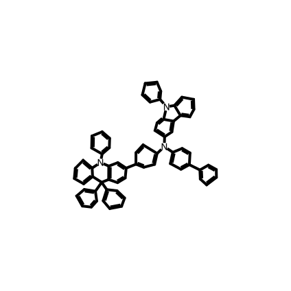 c1ccc(-c2ccc(N(c3ccc(-c4ccc5c(c4)N(c4ccccc4)c4ccccc4C5(c4ccccc4)c4ccccc4)cc3)c3ccc4c(c3)c3ccccc3n4-c3ccccc3)cc2)cc1